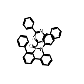 O=P1(c2nc(-c3ccccc3)nc(-c3ccccc3)n2)c2c(-c3ccccc3)cccc2-c2ccccc2N1c1ccccc1